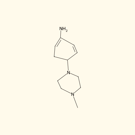 CN1CCN(C2C=CC(N)=CC2)CC1